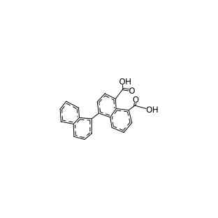 O=C(O)c1cccc2c(-c3cccc4ccccc34)ccc(C(=O)O)c12